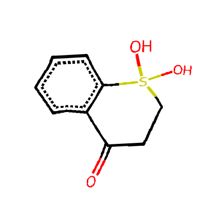 O=C1CCS(O)(O)c2ccccc21